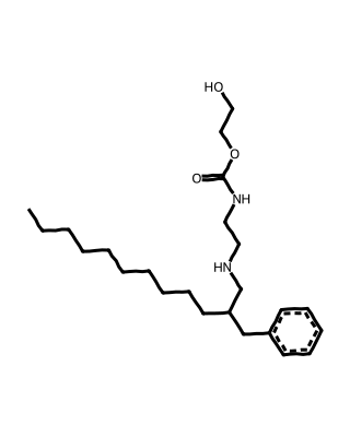 CCCCCCCCCCC(CNCCNC(=O)OCCO)Cc1ccccc1